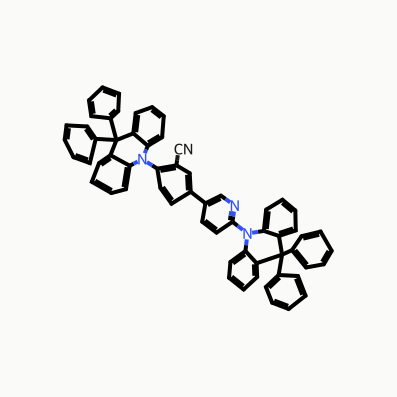 N#Cc1cc(-c2ccc(N3c4ccccc4C(c4ccccc4)(c4ccccc4)c4ccccc43)nc2)ccc1N1c2ccccc2C(c2ccccc2)(c2ccccc2)c2ccccc21